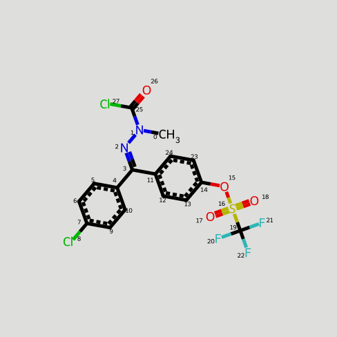 CN(N=C(c1ccc(Cl)cc1)c1ccc(OS(=O)(=O)C(F)(F)F)cc1)C(=O)Cl